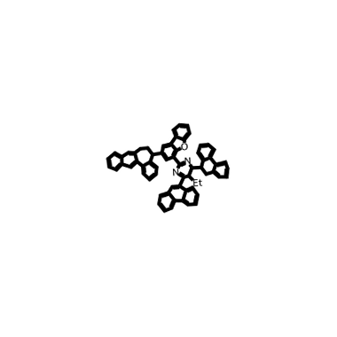 CCC1C(c2cc3ccccc3c3ccccc23)=NC(c2cc(C3CCc4cc5ccccc5cc4-c4ccccc43)cc3c2oc2ccccc23)=NC1C1Cc2ccccc2-c2ccccc21